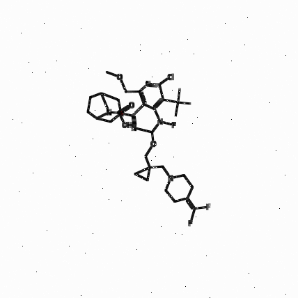 COCc1nc(Cl)c(C(C)(C)C)c2c1C(N1CC3CCC(C1)N3C(=O)O)=NC(OCC1(CN3CCC(=C(F)F)CC3)CC1)N2F